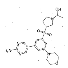 CC(O)N1CCC(S(=O)(=O)c2cc(-c3cnc(N)nc3)cc(N3CCOCC3)c2)C1